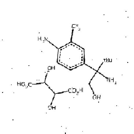 CC(C)(C)C(N)(CO)c1ccc(N)c(C(F)(F)F)c1.O=C(O)C(O)C(O)C(=O)O